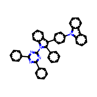 c1ccc(-c2nc(-c3ccccc3)nc(-n3c(-c4ccccc4)c(-c4ccc(-n5c6ccccc6c6ccccc65)cc4)c4ccccc43)n2)cc1